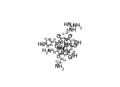 N=C(N)NCCC[C@H](NC(=O)[C@H](CO)NC(=O)[C@H](CS)NC(=O)[C@H](CCCCN)NC(=O)[C@@H](N)CCN)C(=O)N[C@@H](Cc1ccc(O)cc1)C(=O)O